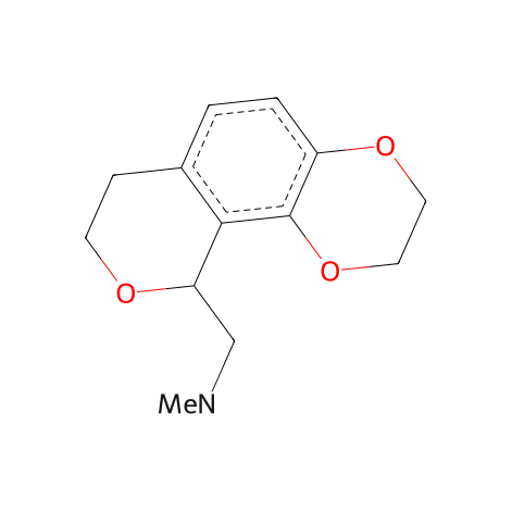 CNCC1OCCc2ccc3c(c21)OCCO3